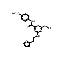 CC(C)Oc1nc(NCCc2cccs2)nc(C(=O)Nc2ccc(C(=O)O)cn2)n1